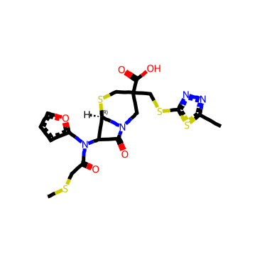 CSCC(=O)N(c1ccco1)C1C(=O)N2CC(CSc3nnc(C)s3)(C(=O)O)CS[C@H]12